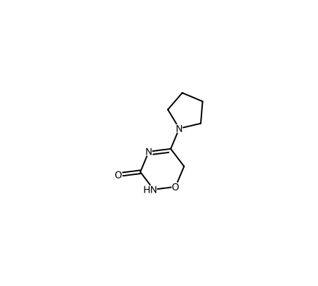 O=C1N=C(N2CCCC2)CON1